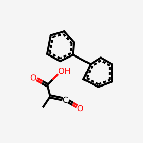 CC(=C=O)C(=O)O.c1ccc(-c2ccccc2)cc1